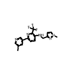 Cc1cncc(-c2ccc(NCc3ccn(C)n3)c(C(F)(F)F)n2)c1